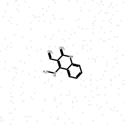 C=CC1=C(NN)c2ccccc2NC1=C